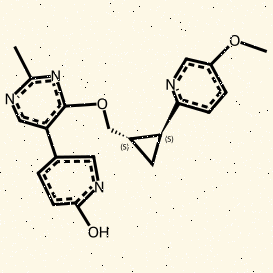 COc1ccc([C@H]2C[C@@H]2COc2nc(C)ncc2-c2ccc(O)nc2)nc1